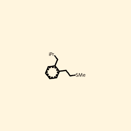 CSCCc1ccccc1CC(C)C